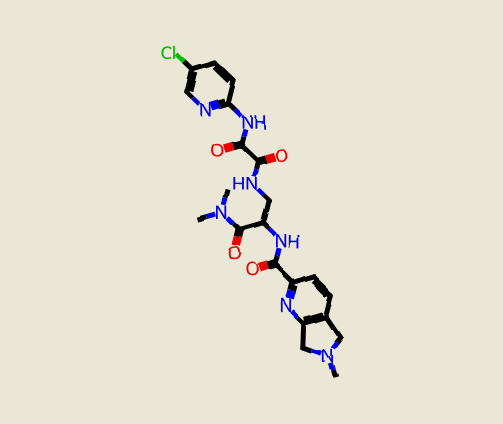 CN1Cc2ccc(C(=O)NC(CNC(=O)C(=O)Nc3ccc(Cl)cn3)C(=O)N(C)C)nc2C1